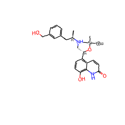 C[C@H](Cc1cccc(CO)c1)NC[C@H](O[Si](C)(C)C(C)(C)C)c1ccc(O)c2[nH]c(=O)ccc12